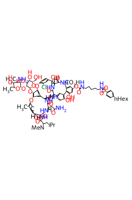 CCCCCCc1ccc(S(=O)(=O)NCCCCCNC(=O)Oc2cc(O)c3c(c2)[C@@H](C(=O)O)NC(=O)[C@H]2NC(=O)[C@H](NC(=O)[C@@H]4NC(=O)[C@H](CC(N)=O)NC(=O)[C@H](NC(=O)[C@@H](CC(C)C)NC)[C@H](O)C5=CC(C)=C(CC5)Oc5cc4cc(c5O[C@@H]4O[C@H](CO)[C@@H](O)[C@H](O)[C@H]4O[C@H]4C[C@](C)(N)[C@H](O)[C@H](C)O4)Oc4ccc(cc4Cl)[C@H]2O)c2ccc(O)c-3c2)cc1